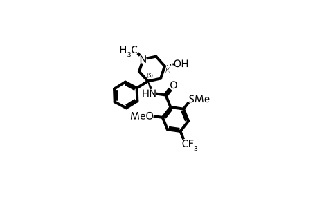 COc1cc(C(F)(F)F)cc(SC)c1C(=O)N[C@]1(c2ccccc2)C[C@@H](O)CN(C)C1